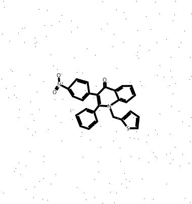 O=c1c(-c2ccc([N+](=O)[O-])cc2)c(-c2ccccc2)n(Cc2cccs2)c2ccccc12